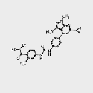 CCN(CC)C(=O)c1ccc(NC(=O)Nc2ccc(-c3cc(C4CC4)nc4c3c(N)nn4C)cc2)cc1C(F)(F)F